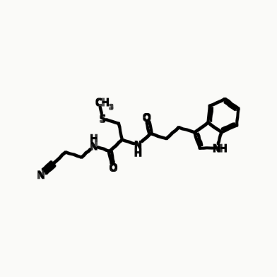 CSCC(NC(=O)CCc1c[nH]c2ccccc12)C(=O)NCCC#N